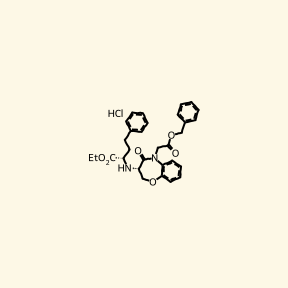 CCOC(=O)[C@H](CCc1ccccc1)N[C@H]1COc2ccccc2N(CC(=O)OCc2ccccc2)C1=O.Cl